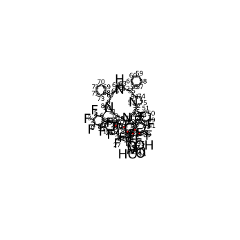 Fc1c(F)c(F)c(C2=Cc3nc2c(-c2ccccc2)c2c(-c4c(F)c(F)c(F)c(F)c4F)c(-c4c(F)c(F)c(F)c(F)c4F)c(c(-c4ccccc4)c4nc(c(-c5ccccc5)c5ccc([nH]5)c3-c3ccccc3)C=C4)n2-c2c(F)c(F)c(F)c(F)c2F)c(F)c1F.[O]=[Mn](=[O])([OH])[OH]